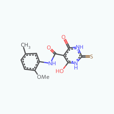 COc1ccc(C)cc1NC(=O)c1c(O)[nH]c(=S)[nH]c1=O